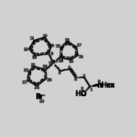 CCCCCC[C@@H](O)CC=CC[P+](c1ccccc1)(c1ccccc1)c1ccccc1.[Br-]